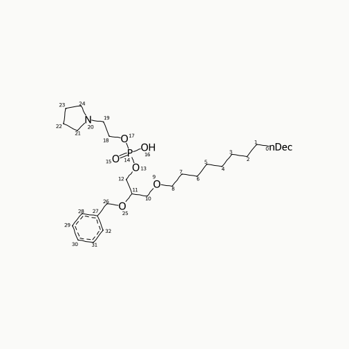 CCCCCCCCCCCCCCCCCCOCC(COP(=O)(O)OCCN1CCCC1)OCc1ccccc1